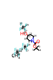 C.CC(C)(C)OC(=O)N1CCC(O)CC1.F[B-](F)(F)F.F[B-](F)(F)F.F[B-](F)(F)F